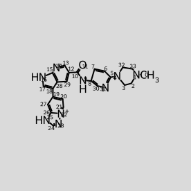 CN1CCN(c2ccc(NC(=O)c3cnc4[nH]cc(-c5cc[n+]6nc[nH]c6c5)c4c3)cn2)CC1